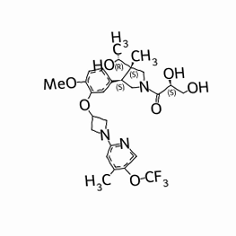 COc1ccc([C@@H]2CN(C(=O)[C@@H](O)CO)C[C@@]2(C)[C@@H](C)O)cc1OC1CN(c2cc(C)c(OC(F)(F)F)cn2)C1